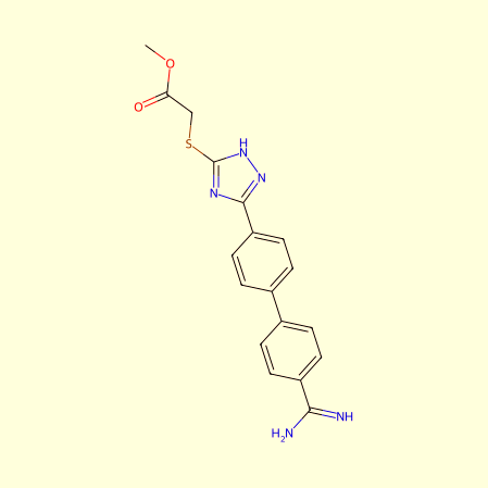 COC(=O)CSc1nc(-c2ccc(-c3ccc(C(=N)N)cc3)cc2)n[nH]1